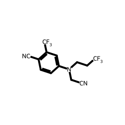 N#CCN(CCC(F)(F)F)c1ccc(C#N)c(C(F)(F)F)c1